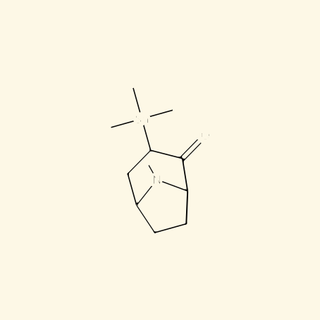 CN1C2CCC1C(=O)[CH]([Sn]([CH3])([CH3])[CH3])C2